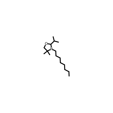 CCCCCCCCN1C(C(C)C)OCC1(C)C